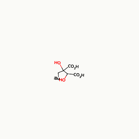 CCC(C)CC(O)(C(=O)O)C(O)C(=O)O